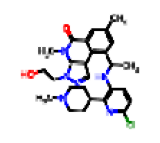 Cc1cc(C(C)Nc2ccc(Cl)nc2C2CCN(C)CC2)c2c(c1)c(=O)n(C)c1c2cnn1CCO